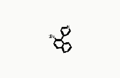 CC(C)(C)c1ccc2ccccc2c1-c1ccncc1